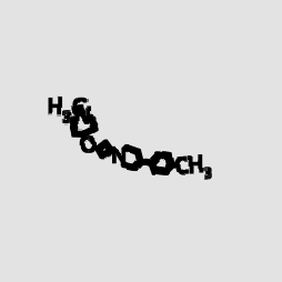 Cc1ccc(C2CCN(C3CC(OC4CCN(C)CC4)C3)CC2)cc1